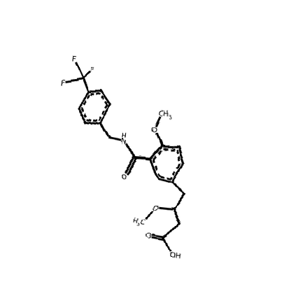 COc1ccc(CC(CC(=O)O)OC)cc1C(=O)NCc1ccc(C(F)(F)F)cc1